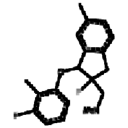 CNCC1(F)Cc2ccc(C)cc2C1Oc1cccc(F)c1C